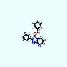 c1ccc(COn2c(-c3ccccc3)nc3ncccc32)cc1